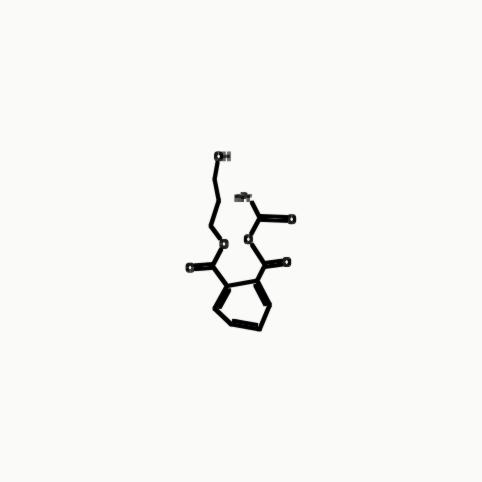 CCCC(=O)OC(=O)c1ccccc1C(=O)OCCCO